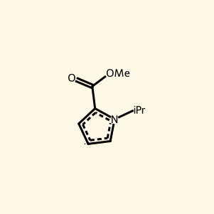 COC(=O)c1c[c]cn1C(C)C